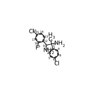 CC(N)(c1ccc(Cl)cc1)C(N)c1ccc(Cl)cc1F